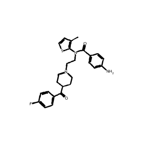 Cc1ccsc1N(CCN1CCC(C(=O)c2ccc(F)cc2)CC1)C(=O)c1ccc(N)cc1